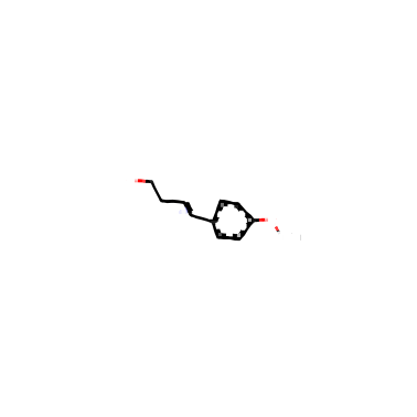 CCCCOc1ccc(/C=C/CCO)cc1